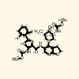 C[C@H]1CN(c2c(NC(=O)c3nc(-c4c(F)cccc4F)sc3NC(=O)OC(C)(C)C)cnc3c2CCO3)C[C@@H](NC(=O)OC(C)(C)C)[C@@H]1O